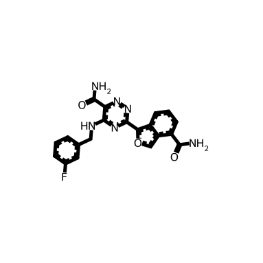 NC(=O)c1nnc(-c2occ3c(C(N)=O)cccc23)nc1NCc1cccc(F)c1